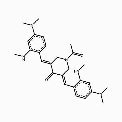 CNc1cc(N(C)C)ccc1C=C1CN(C(C)=O)CC(=Cc2ccc(N(C)C)cc2NC)C1=O